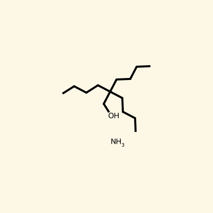 CCCCC(CO)(CCCC)CCCC.N